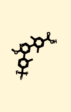 COc1ncc(-c2c(C)cc(C(=O)O)cc2C)cc1-c1ccc(C(F)(F)F)cc1C